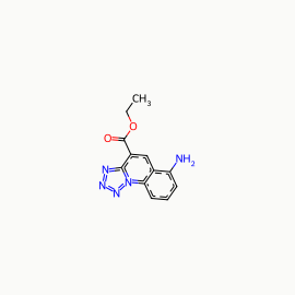 CCOC(=O)c1cc2c(N)cccc2n2nnnc12